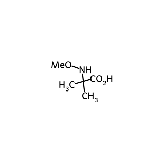 CONC(C)(C)C(=O)O